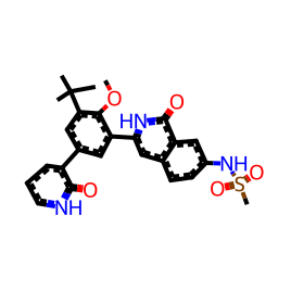 COc1c(-c2cc3ccc(NS(C)(=O)=O)cc3c(=O)[nH]2)cc(-c2ccc[nH]c2=O)cc1C(C)(C)C